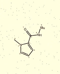 Cn1cccc1C(=O)NC(C)(C)C